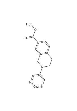 COC(=O)c1ccc2c(c1)CN(c1cncnc1)CC2